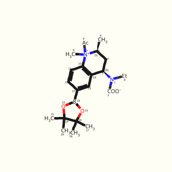 CCN(C(=O)[O-])[C@@H]1C[C@H](C)[N+](C)(C(C)=O)c2ccc(B3OC(C)(C)C(C)(C)O3)cc21